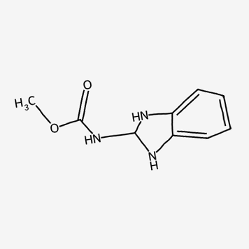 COC(=O)NC1Nc2ccccc2N1